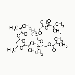 C=C(C)C(=O)OC(CCC)OC(=O)C(=C)C.C=C(C)C(=O)OCC(C)OCC(C)OCC(C)OC(=O)C(=C)C